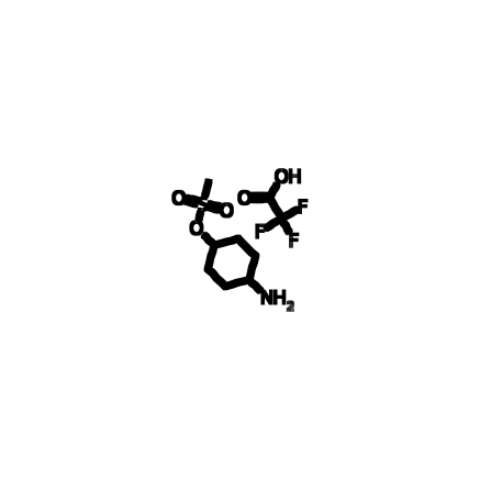 CS(=O)(=O)OC1CCC(N)CC1.O=C(O)C(F)(F)F